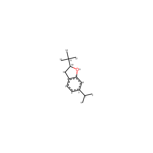 CC(C)c1ccc2c(c1)OC(C(C)(C)C)C2